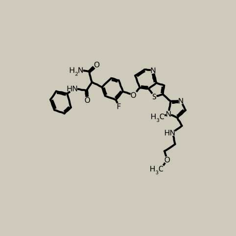 COCCNCc1cnc(-c2cc3nccc(Oc4ccc(C(C(N)=O)C(=O)Nc5ccccc5)cc4F)c3s2)n1C